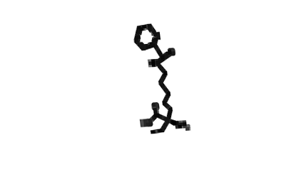 CC[C@@](N)(CCCCCNC(=O)c1ccccn1)C(=O)O